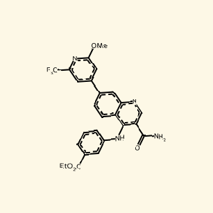 CCOC(=O)c1cccc(Nc2c(C(N)=O)cnc3cc(-c4cc(OC)nc(C(F)(F)F)c4)ccc23)c1